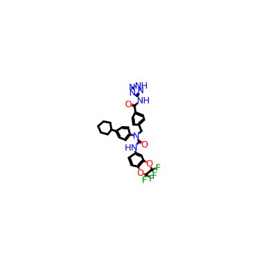 O=C(Nc1nn[nH]n1)c1ccc(CN(C(=O)Nc2ccc3c(c2)OC(F)(F)C(F)(F)O3)c2ccc(C3CCCCC3)cc2)cc1